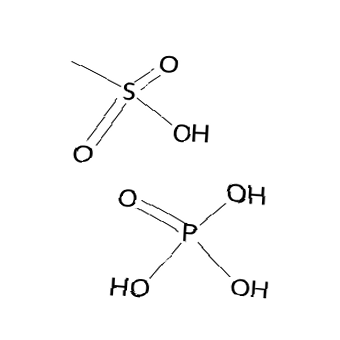 CS(=O)(=O)O.O=P(O)(O)O